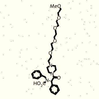 COCCOCCOCCOCCOCCN1CCN(C(=O)[C@H](c2ccccc2)N(Cc2ccccc2)C(=O)O)CC1